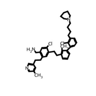 Cc1cncc(CCc2cc(CCc3cccc(-c4cccc(CCCCN5CCCCC5)c4Cl)c3C)c(Cl)cc2CN)c1